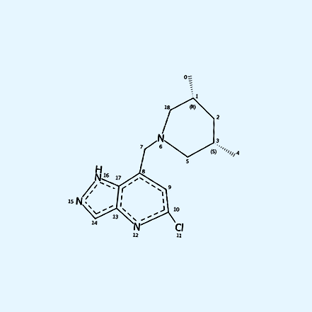 C[C@@H]1C[C@H](C)CN(Cc2cc(Cl)nc3cn[nH]c23)C1